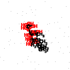 C[C@H]1CCC2C(=CCC3[C@@]2(C)CC[C@]2(C)[C@@H]([C@H]4CCC(C(C)(C)O)OC(O)/C(=C(/O)C(O)CCOC5OC(CO)C(O)C(O)C5O)OC(O)/C(O)=C(/C(O)CCO)O4)CC[C@@]32C)C1(C)C